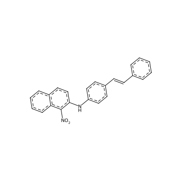 O=[N+]([O-])c1c(Nc2ccc(C=Cc3ccccc3)cc2)ccc2ccccc12